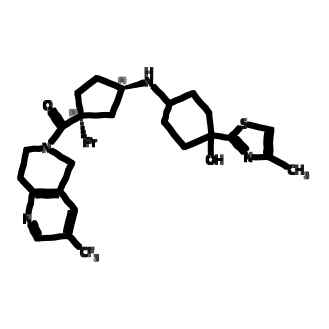 Cc1csc(C2(O)CCC(N[C@@H]3CC[C@@](C(=O)N4CCc5ncc(C(F)(F)F)cc5C4)(C(C)C)C3)CC2)n1